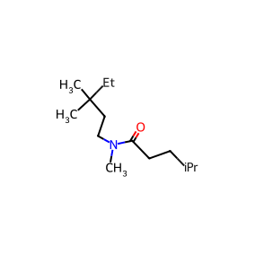 CCC(C)(C)CCN(C)C(=O)CCC(C)C